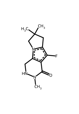 CN1NCc2c(c(F)c3n2CC(C)(C)C3)C1=O